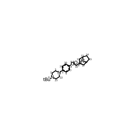 CC(C)(C)N1CCN(c2ccc(OCC3CC4CCC(C3)N4C(=O)O)cc2)CC1